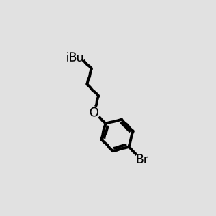 CCC(C)CCCOc1ccc(Br)cc1